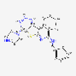 c1ccc(CNc2nc3sc4c(N5CCNCC5)nnnc4c3c3c2CCCC3)cc1